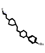 CCCCc1ccc(C2CCC(CCC3CCC(C/C=C/F)CC3)CC2)cc1